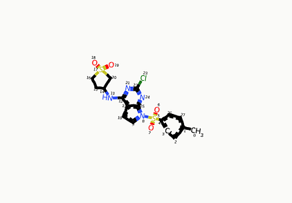 Cc1ccc(S(=O)(=O)n2ccc3c(NC4CCS(=O)(=O)C4)nc(Cl)nc32)cc1